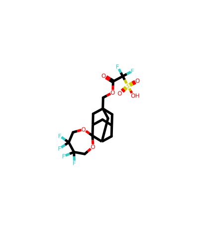 O=C(OCC12CC3CC(C1)C1(OCC(F)(F)C(F)(F)CO1)C(C3)C2)C(F)(F)S(=O)(=O)O